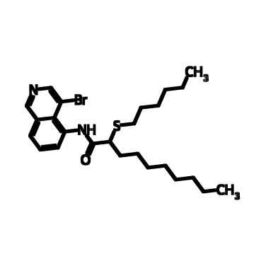 CCCCCCCCC(SCCCCCC)C(=O)Nc1cccc2cncc(Br)c12